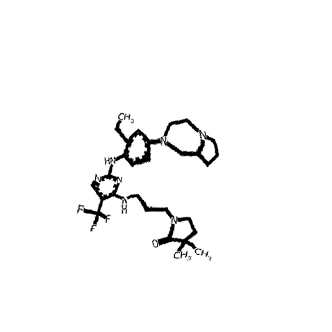 CCc1cc(N2CCN3CCCC3C2)ccc1Nc1ncc(C(F)(F)F)c(NCCCN2CCC(C)(C)C2=O)n1